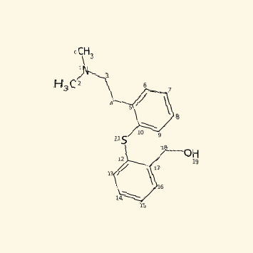 CN(C)CCc1ccccc1Sc1ccccc1CO